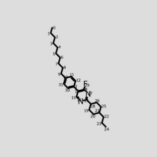 CCCCCCCCCCc1ccc(-c2cnc(C3CCC(CCC)CC3)nc2F)cc1